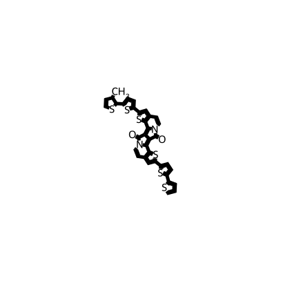 CC1C=CSC1c1ccc(-c2cc3c(s2)C2=C4C(=O)N5C=Cc6cc(-c7ccc(-c8cccs8)s7)sc6C5=C4C(=O)N2C=C3)s1